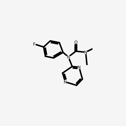 CN(C)C(=O)N(c1ccc(F)cc1)c1cnccn1